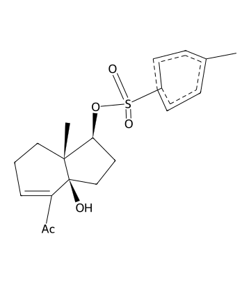 CC(=O)C1=CCC[C@]2(C)[C@@H](OS(=O)(=O)c3ccc(C)cc3)CC[C@]12O